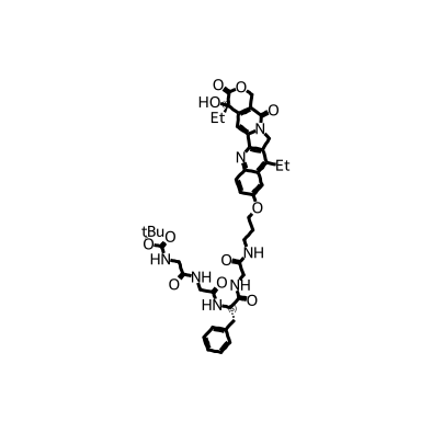 CCc1c2c(nc3ccc(OCCCNC(=O)CNC(=O)[C@H](Cc4ccccc4)NC(=O)CNC(=O)CNC(=O)OC(C)(C)C)cc13)-c1cc3c(c(=O)n1C2)COC(=O)[C@]3(O)CC